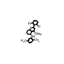 CCc1cccc(CC)c1-c1cc(OC)c2c(n1)CCCC2Nc1cc(C)ccc1C